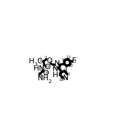 CC1COC(c2nc(-c3ccc(F)cc3)c(-c3ccncc3)[nH]2)OC1NC(=O)CN